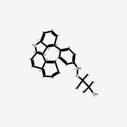 CC(C)(O)C(C)(C)OBc1ccc(-c2cccc3oc4ccc5ccccc5c4c23)cc1